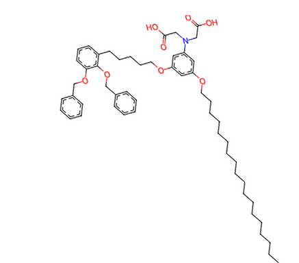 CCCCCCCCCCCCCCCCCCOc1cc(OCCCCCc2cccc(OCc3ccccc3)c2OCc2ccccc2)cc(N(CC(=O)O)CC(=O)O)c1